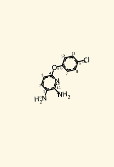 Nc1ccc(Oc2ccc(Cl)cc2)nc1N